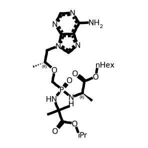 CCCCCCOC(=O)[C@@H](C)NP(=O)(CO[C@H](C)Cn1cnc2c(N)ncnc21)NC(C)(C)C(=O)OC(C)C